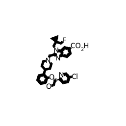 O=C(O)c1ccc2nc(CN3CCC(c4cccc5c4O[C@@H](c4ccc(Cl)cn4)CO5)CC3)n(CC3(CF)CC3)c2c1